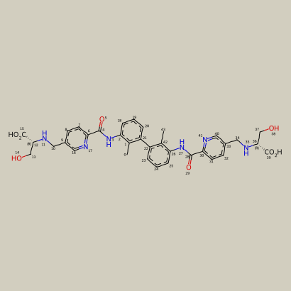 Cc1c(NC(=O)c2ccc(CN[C@H](CO)C(=O)O)cn2)cccc1-c1cccc(NC(=O)c2ccc(CN[C@H](CO)C(=O)O)cn2)c1C